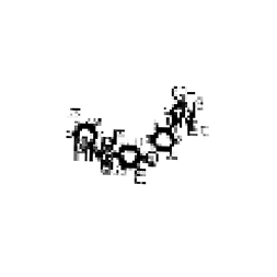 CCn1nc(C(F)(F)F)cc1-c1ccc(Oc2cc(F)c(S(=O)(=O)Nc3ccc(F)cn3)cc2Cl)cc1